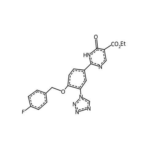 CCOC(=O)c1cnc(-c2ccc(OCc3ccc(F)cc3)c(-n3cnnn3)c2)[nH]c1=O